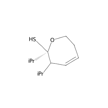 CC(C)C1C=CCCO[C@@]1(S)C(C)C